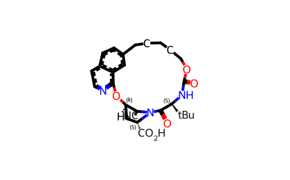 CC(C)(C)[C@@H]1NC(=O)OCCCCCc2ccc3ccnc(c3c2)O[C@@H]2C[C@@H](C(=O)O)N(C1=O)C2C#N